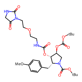 COc1ccc(C[C@@H]2[C@H](OC(=O)NCCOCCN3C(=O)CNC3=O)[C@@H](OC(=O)OC(C)(C)C)CN2C(=O)OC(C)(C)C)cc1